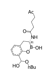 CCCCOC(O)c1cccc2c1OB(O)[C@@H](NC(=O)CCCC(C)=O)C2